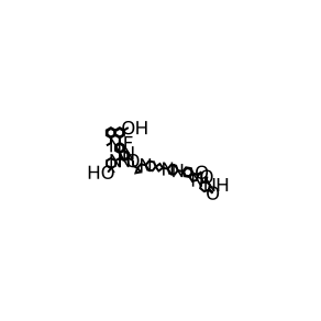 CCc1cccc2cc(O)cc(-c3ncc4c(N5CCC[C@@](C)(O)C5)nc(OCC5(CN6CCC7(CC6)CC(N6CCN(c8ccc9c(c8)CN([C@H]8CCC(=O)NC8=O)C9=O)CC6)C7)CC5)nc4c3F)c12